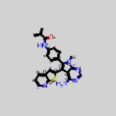 C=C(C)C(=O)Nc1ccc(-c2c(-c3cc4cccnc4s3)c3c(N)ncnc3n2C)cc1